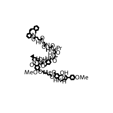 COc1ccc(C2=CN3C(O)c4cc(OC)c(OCCCCCOc5cc6c(cc5OC)C(=O)N5CC7(CC7)C[C@H]5[C@H](O)N6C(=O)OCc5ccc(NC(=O)[C@H](C)NC(=O)[C@@H](NC(=O)CNC(=O)CNC(=O)CCC(=O)N6Cc7ccccc7C#Cc7ccccc76)C(C)C)cc5)cc4NC[C@@H]3C2)cc1